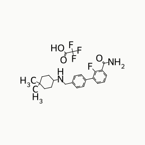 CC1(C)CCC(NCc2ccc(-c3cccc(C(N)=O)c3F)cc2)CC1.O=C(O)C(F)(F)F